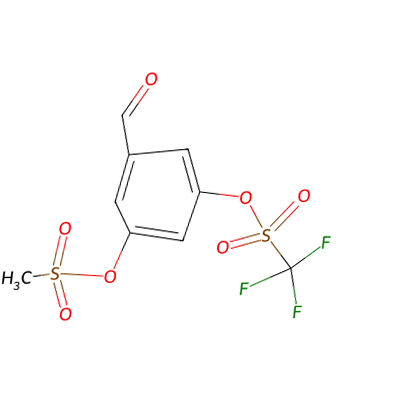 CS(=O)(=O)Oc1cc(C=O)cc(OS(=O)(=O)C(F)(F)F)c1